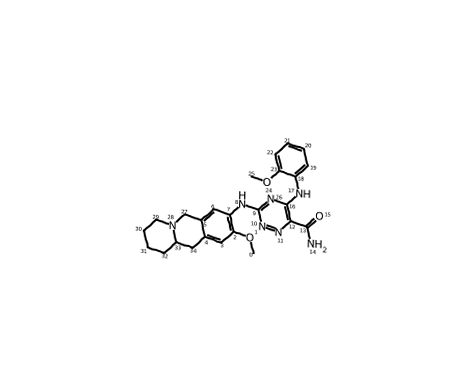 COc1cc2c(cc1Nc1nnc(C(N)=O)c(Nc3ccccc3OC)n1)CN1CCCCC1C2